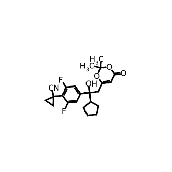 CC1(C)OC(=O)C=C(CC(O)(c2cc(F)c(C3(C#N)CC3)c(F)c2)C2CCCC2)O1